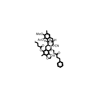 COc1c(C)cc2c(c1OC(C)=O)[C@H]1C3Cc4c(OC(=O)CCI)c(C)c5c(c4[C@H](CNC(=O)CCc4ccccc4)N3[C@@H](C#N)[C@@H](C2)N1C)OCO5